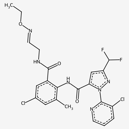 CCON=CCNC(=O)c1cc(Cl)cc(C)c1NC(=O)c1cc(C(F)F)nn1-c1ncccc1Cl